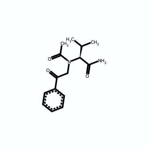 CC(=O)N(CC(=O)c1ccccc1)[C@H](C(N)=O)C(C)C